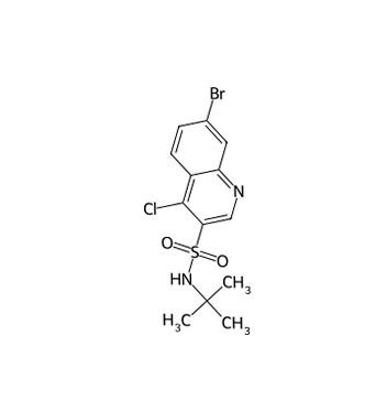 CC(C)(C)NS(=O)(=O)c1cnc2cc(Br)ccc2c1Cl